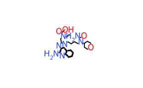 CCN(Cc1nc2c(N)nc3ccccc3c2n1CCCCN(C(N)=O)C1CCOCC1)C(=O)O